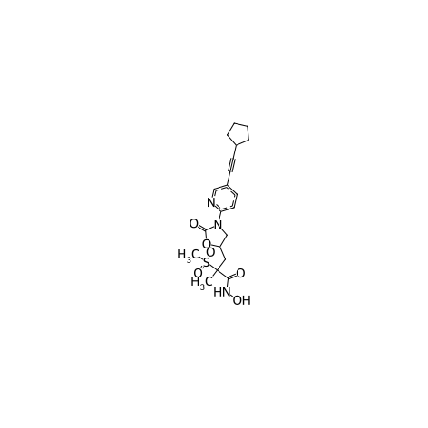 CC(CC1CN(c2ccc(C#CC3CCCC3)cn2)C(=O)O1)(C(=O)NO)S(C)(=O)=O